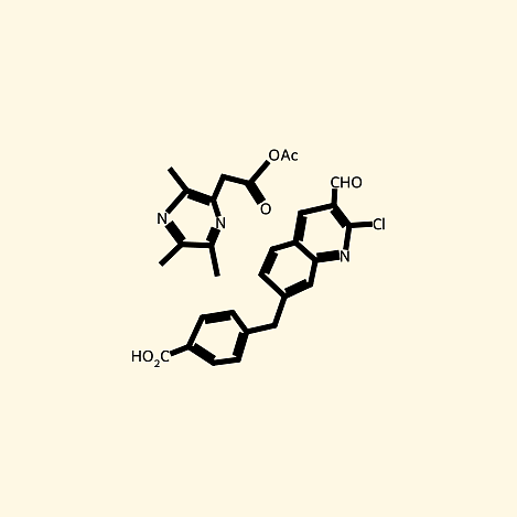 CC(=O)OC(=O)Cc1nc(C)c(C)nc1C.O=Cc1cc2ccc(Cc3ccc(C(=O)O)cc3)cc2nc1Cl